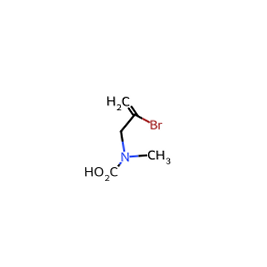 C=C(Br)CN(C)C(=O)O